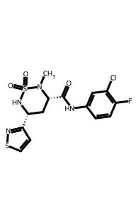 CN1[C@H](C(=O)Nc2ccc(F)c(Cl)c2)C[C@H](c2ccsn2)NS1(=O)=O